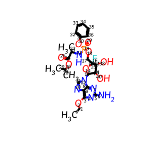 CCOc1nc(N)nc2c1ncn2C1O[C@](F)(COP(=O)(NC(C)C(=O)OC(C)C)Oc2ccccc2)[C@@H](O)[C@H]1O